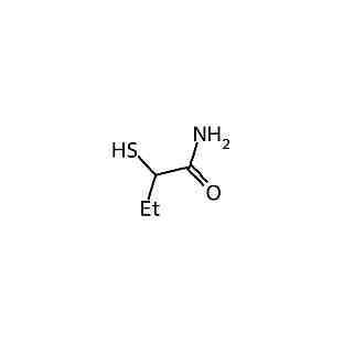 CCC(S)C(N)=O